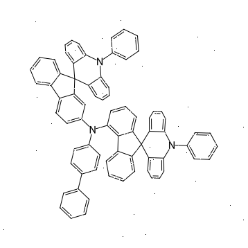 c1ccc(-c2ccc(N(c3ccc4c(c3)C3(c5ccccc5-4)c4ccccc4N(c4ccccc4)c4ccccc43)c3cccc4c3-c3ccccc3C43c4ccccc4N(c4ccccc4)c4ccccc43)cc2)cc1